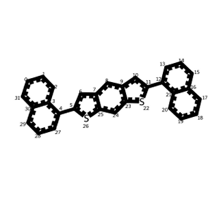 c1ccc2c(-c3cc4cc5cc(-c6cccc7ccccc67)sc5cc4s3)cccc2c1